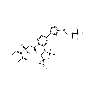 C=C(C)/C(=C\C)S(=O)(=O)NC(=O)c1ccc(-n2ccc(OCC(C)(C)C(F)(F)F)n2)nc1N1CC2(CC1(C)C)S[C@H]2C